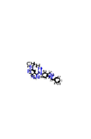 CCN(C)c1cc2c(Nc3ccc4c(cnn4Cc4ccccc4)c3)ncnc2cn1